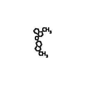 Cc1ccc2cc(Oc3ccc(C)c4ccccc34)ccc2c1